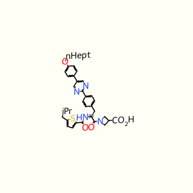 CCCCCCCOc1ccc(-c2cnc(-c3ccc(C[C@H](NC(=O)c4ccc(CC(C)C)s4)C(=O)N4CC(C(=O)O)C4)cc3)nc2)cc1